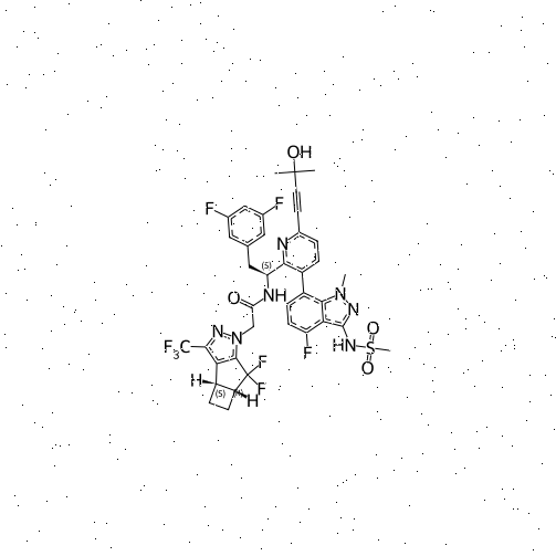 Cn1nc(NS(C)(=O)=O)c2c(F)ccc(-c3ccc(C#CC(C)(C)O)nc3[C@H](Cc3cc(F)cc(F)c3)NC(=O)Cn3nc(C(F)(F)F)c4c3C(F)(F)[C@@H]3CC[C@H]43)c21